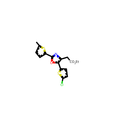 CCOC(=O)Cc1nc(-c2ccc(C)s2)oc1-c1ccc(Cl)s1